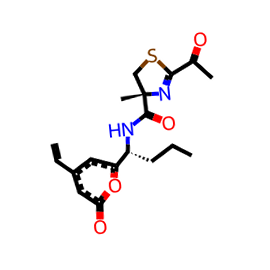 C=Cc1cc([C@@H](CCC)NC(=O)[C@]2(C)CSC(C(C)=O)=N2)oc(=O)c1